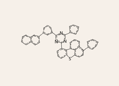 c1ccc(-c2nc(-c3cccc(-c4ccc5ccccc5c4)c3)nc(-c3cccc4c3-c3cccc5c(-c6ccccc6)ccc(c35)S4)n2)cc1